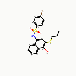 CCCSc1cc(NS(=O)(=O)c2ccc(Br)cc2)c2ccccc2c1O